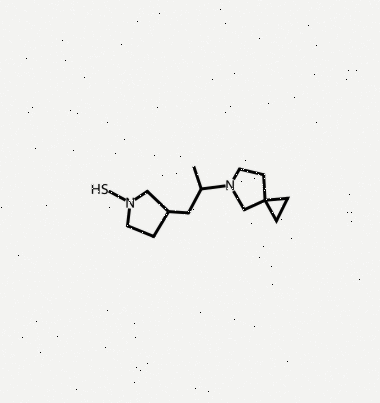 CC(CC1CCN(S)C1)N1CCC2(CC2)C1